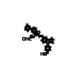 O=COC[n+]1c(/C=C/c2ccc3c(c2)C2CCCC2N3c2ccc(CO)cc2)oc2ccc(-c3ccccc3)cc21